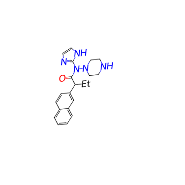 CCC(C(=O)N(c1ncc[nH]1)N1CCNCC1)c1ccc2ccccc2c1